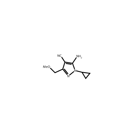 COCc1nn(C2CC2)c(N)c1C#N